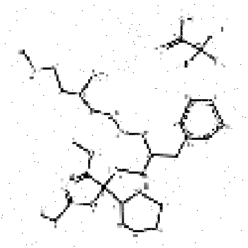 CCC(=O)OC(NC(=O)C(CSSCC(N)CCSC)Cc1ccccc1)(C(=O)OC)C1CCCCC1.O=C(O)C(F)(F)F